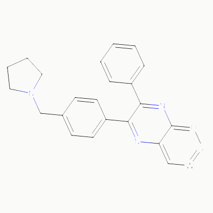 [CH]1=c2nc(-c3ccc(CN4CCCC4)cc3)c(-c3ccccc3)n[c]2=[U][V]=[W]1